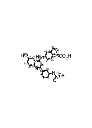 CCCC(=O)Nc1cccc(-c2nc(Nc3ccc4c(cnn4C(=O)O)c3)c3cc(O)ccc3n2)c1